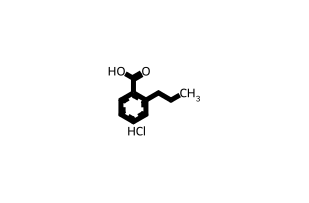 CCCc1ccccc1C(=O)O.Cl